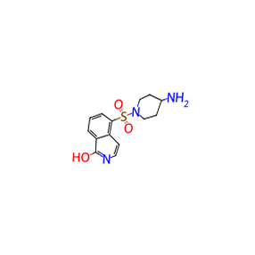 NC1CCN(S(=O)(=O)c2cccc3c(O)nccc23)CC1